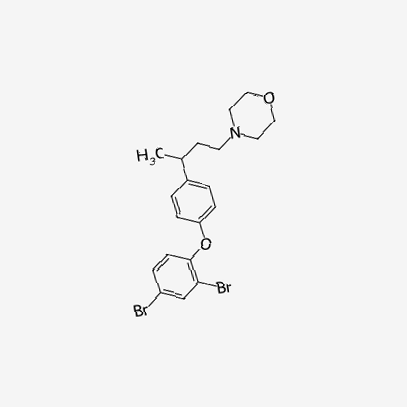 CC(CCN1CCOCC1)c1ccc(Oc2ccc(Br)cc2Br)cc1